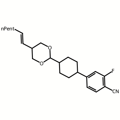 CCCCCC=CC1COC(C2CCC(c3ccc(C#N)c(F)c3)CC2)OC1